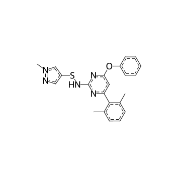 Cc1cccc(C)c1-c1cc(Oc2ccccc2)nc(NSc2cnn(C)c2)n1